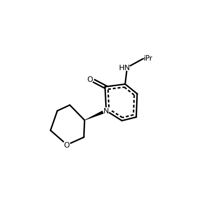 CC(C)Nc1cccn([C@@H]2CCCOC2)c1=O